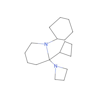 C1CCC(N2CCCCC2(C2CCC2)N2CCC2)CC1